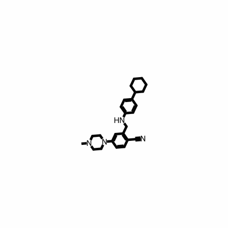 CN1CCN(c2ccc(C#N)c(CNc3ccc(C4CCCCC4)cc3)c2)CC1